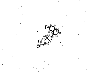 O=C(Cl)C[C@@H]1CC2CC(c3ccnc4ccc(F)cc34)C[C@@H]2C1